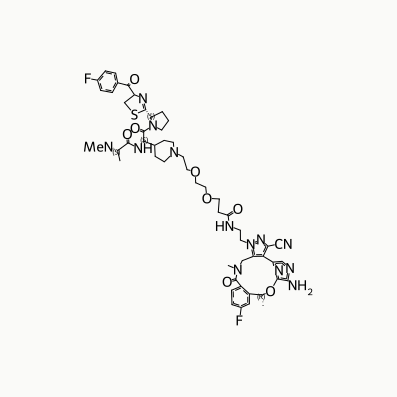 CN[C@@H](C)C(=O)N[C@H](C(=O)N1CCC[C@H]1C1=NC(C(=O)c2ccc(F)cc2)CS1)C1CCN(CCOCCOCCC(=O)NCCn2nc(C#N)c3c2CN(C)C(=O)c2ccc(F)cc2[C@@H](C)Oc2nc-3cnc2N)CC1